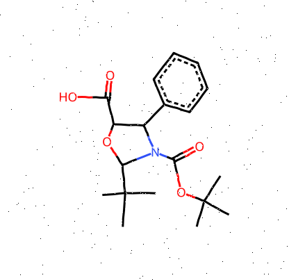 CC(C)(C)OC(=O)N1C(c2ccccc2)C(C(=O)O)OC1C(C)(C)C